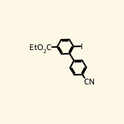 CCOC(=O)c1ccc(I)c(-c2ccc(C#N)cc2)c1